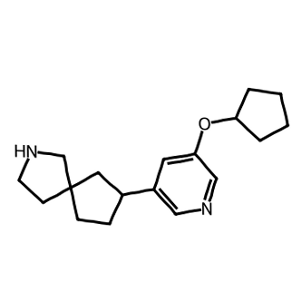 c1ncc(C2CCC3(CCNC3)C2)cc1OC1CCCC1